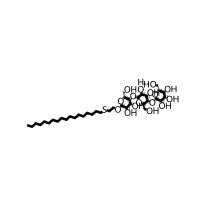 CCCCCCCCCCCCCCCCCCSCCO[C@@H]1O[C@H](CO)[C@@H](O[C@@H]2O[C@H](CO)[C@H](O[C@H]3O[C@H](CO)[C@H](O)[C@H](O)[C@H]3O)[C@H](O)[C@H]2O)[C@H](O)[C@H]1O